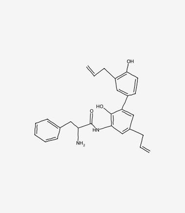 C=CCc1cc(NC(=O)C(N)Cc2ccccc2)c(O)c(-c2ccc(O)c(CC=C)c2)c1